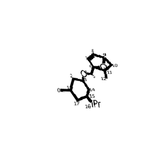 CC1CC(OCC23C=CC(CC2C)O3)CC(C(C)C)C1